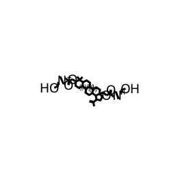 C=C(C)C1CCC2(COC(=O)C[N+](C)(C)CCO)CC[C@@]3(C)C(CCC4[C@@]5(C)CCC(OC(=O)C[N+](C)(C)CCO)C(C)(C)C5CC[C@]43C)C12